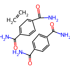 C=C.NC(=O)c1ccc(C(N)=O)cc1.NC(=O)c1ccc(C(N)=O)cc1